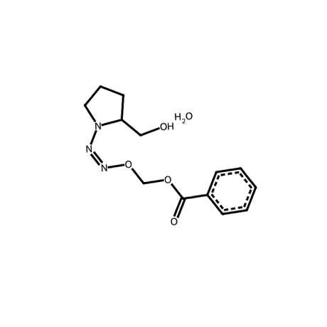 O.O=C(OCO/N=N\N1CCCC1CO)c1ccccc1